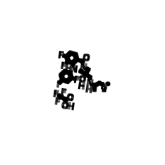 CC(CN(C)C)NCC1(O)CN(C(=O)c2ccc(F)c(F)c2Nc2ccc(I)cc2F)C1.O=C(O)C(F)(F)F